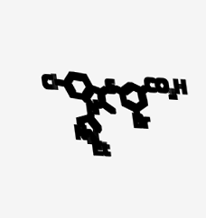 CCn1cc(-n2c(C)c(Sc3cc(Br)cc(C(=O)O)c3)c3ccc(Cl)cc32)cn1